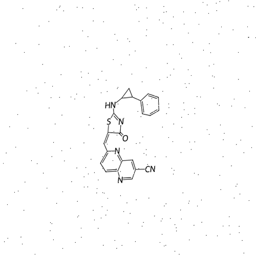 N#Cc1cnc2ccc(C=C3SC(NC4CC4c4ccccc4)=NC3=O)nc2c1